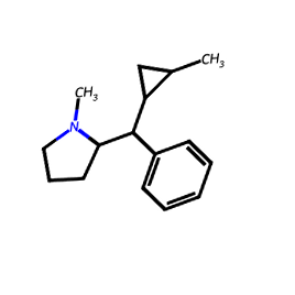 CC1CC1C(c1ccccc1)C1CCCN1C